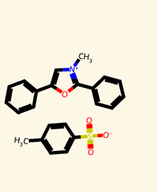 C[n+]1cc(-c2ccccc2)oc1-c1ccccc1.Cc1ccc(S(=O)(=O)[O-])cc1